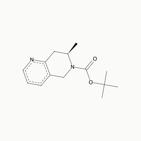 C[C@@H]1Cc2ncccc2CN1C(=O)OC(C)(C)C